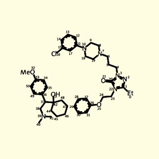 CCc1nn(CCCN2CCN(c3cccc(Cl)c3)CC2)c(=O)n1CCOc1ccccc1.COc1ccc(C(CN(C)C)C2(O)CCCCC2)cc1